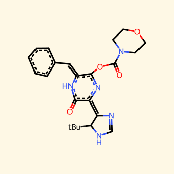 CC(C)(C)C1NC=NC1=c1nc(OC(=O)N2CCOCC2)c(=Cc2ccccc2)[nH]c1=O